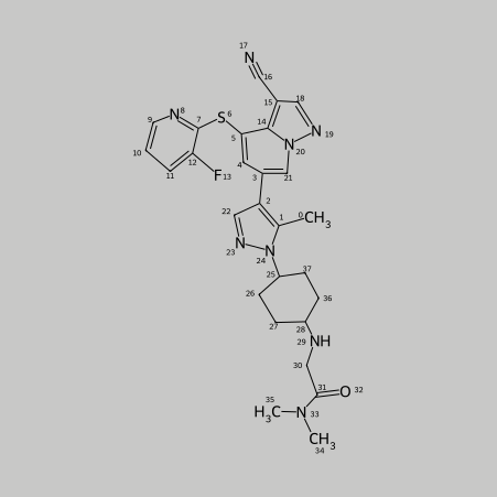 Cc1c(-c2cc(Sc3ncccc3F)c3c(C#N)cnn3c2)cnn1C1CCC(NCC(=O)N(C)C)CC1